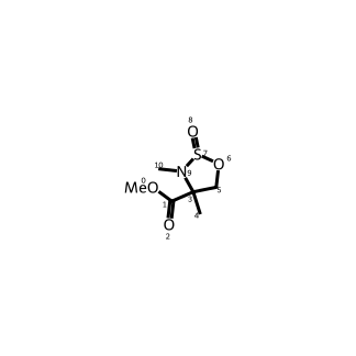 COC(=O)C1(C)COS(=O)N1C